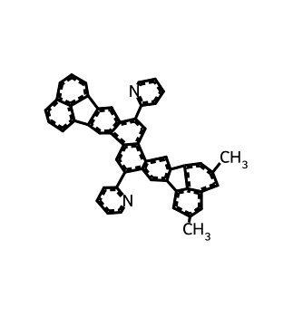 Cc1cc2c3c(cc(C)cc3c1)-c1cc3c(cc1-2)c(-c1ccccn1)cc1c2cc4c(cc2c(-c2ccccn2)cc31)-c1cccc2cccc-4c12